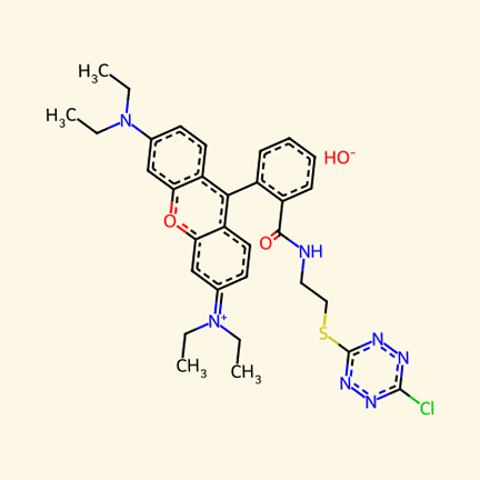 CCN(CC)c1ccc2c(-c3ccccc3C(=O)NCCSc3nnc(Cl)nn3)c3ccc(=[N+](CC)CC)cc-3oc2c1.[OH-]